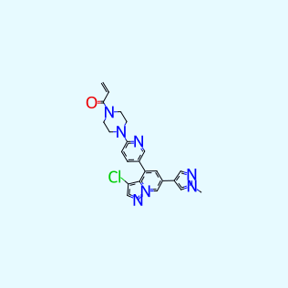 C=CC(=O)N1CCN(c2ccc(-c3cc(-c4cnn(C)c4)cn4ncc(Cl)c34)cn2)CC1